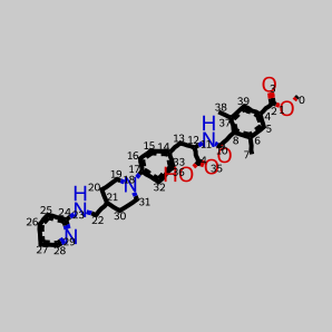 COC(=O)c1cc(C)c(C(=O)NC(Cc2ccc(N3CCC(CNc4ccccn4)CC3)cc2)C(=O)O)c(C)c1